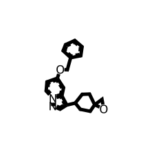 c1ccc(COc2ccn3ncc(C4CCC5(CC4)CO5)c3c2)cc1